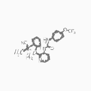 CC(C)(C#N)c1ccccc1Oc1ncccc1NC(=O)Nc1ccc(OC(F)(F)F)cc1